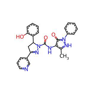 Cc1[nH]n(-c2ccccc2)c(=O)c1NC(=O)N1N=C(c2cccnc2)CC1c1ccccc1O